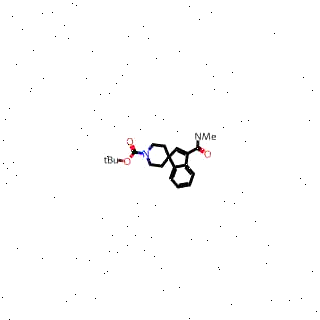 CNC(=O)C1=CC2(CCN(C(=O)OC(C)(C)C)CC2)c2ccccc21